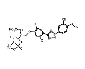 CC(C)Oc1ccc(-c2nnc(-c3cc(F)c(OC[C@H](NC(=O)O)[C@H](C)OP(=O)(OC(C)(C)C)OC(C)(C)C)cc3Cl)s2)cc1C#N